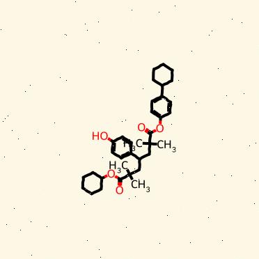 CC(C)(CC(CC(C)(C)C(=O)OC1CCCCC1)c1ccc(O)cc1)C(=O)Oc1ccc(C2CCCCC2)cc1